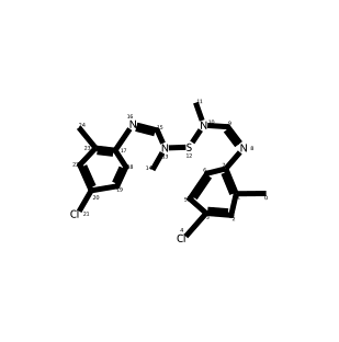 Cc1cc(Cl)ccc1/N=C\N(C)SN(C)/C=N\c1ccc(Cl)cc1C